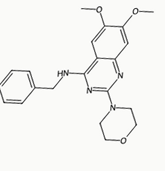 COc1cc2nc(N3CCOCC3)nc(NCc3ccccc3)c2cc1OC